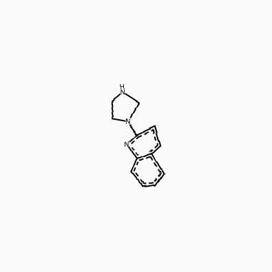 c1ccc2nc(N3CCNC3)ccc2c1